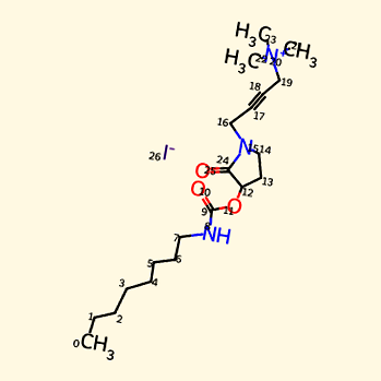 CCCCCCCCNC(=O)OC1CCN(CC#CC[N+](C)(C)C)C1=O.[I-]